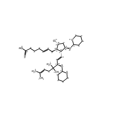 CC(C)=CCC(C)(C)[C@@H](C=C[C@@H]1[C@@H](CC=CCCCC(=O)O)[C@H](Cl)C[C@H]1OC1CCCCO1)OC1CCCCO1